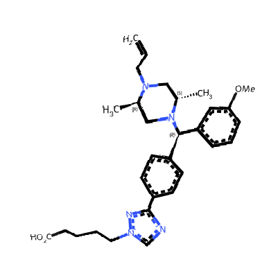 C=CCN1C[C@H](C)N([C@H](c2ccc(-c3ncn(CCCCC(=O)O)n3)cc2)c2cccc(OC)c2)C[C@H]1C